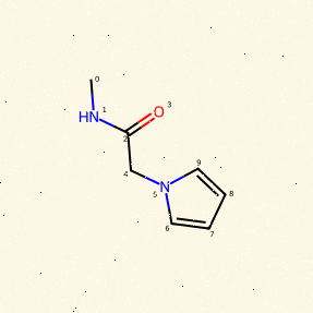 CNC(=O)Cn1cccc1